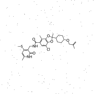 C=C(C)COC1CCC(C2(C)Oc3c(Cl)cc(C(=O)NCc4c(SC)cc(C)[nH]c4=O)c(C)c3O2)CC1